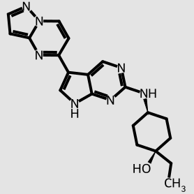 CC[C@]1(O)CC[C@@H](Nc2ncc3c(-c4ccn5nccc5n4)c[nH]c3n2)CC1